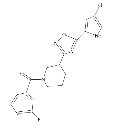 O=C(c1ccnc(F)c1)N1CCCC(c2noc(-c3cc(Cl)c[nH]3)n2)C1